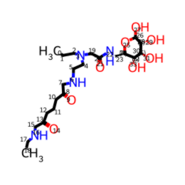 CCCN(CCNCC(=O)CCCC(=O)CNCC)CC(=O)NC[C@H]1OC(O)[C@H](O)[C@@H](O)[C@@H]1O